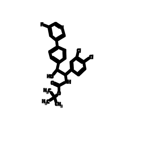 CC(C)(C)OC(=O)NC(c1ccc(Cl)c(Cl)c1)C(O)c1ccc(-c2cncc(F)c2)cc1